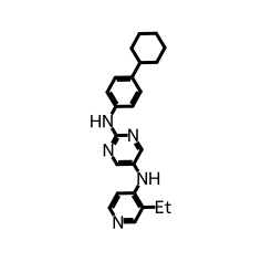 CCc1cnccc1Nc1cnc(Nc2ccc(C3CCCCC3)cc2)nc1